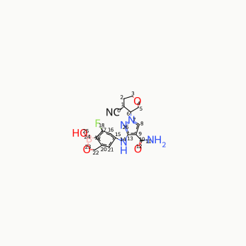 N#C[C@H]1CCOCC1n1cc(C(N)=O)c(Nc2cc(F)c3c(c2)COB3O)n1